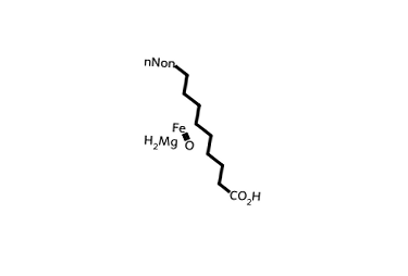 CCCCCCCCCCCCCCCCCC(=O)O.[MgH2].[O]=[Fe]